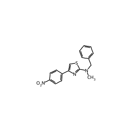 CN(Cc1ccccc1)c1nc(-c2ccc([N+](=O)[O-])cc2)cs1